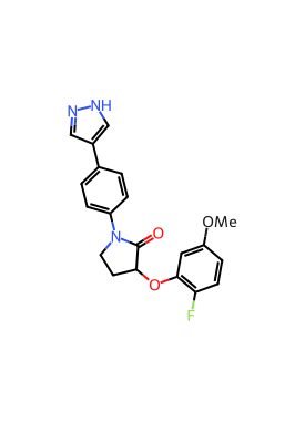 COc1ccc(F)c(OC2CCN(c3ccc(-c4cn[nH]c4)cc3)C2=O)c1